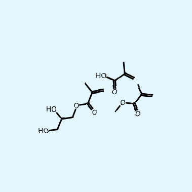 C=C(C)C(=O)O.C=C(C)C(=O)OC.C=C(C)C(=O)OCC(O)CO